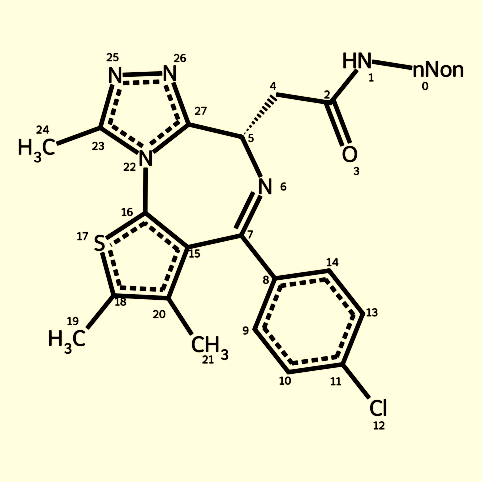 CCCCCCCCCNC(=O)C[C@@H]1N=C(c2ccc(Cl)cc2)c2c(sc(C)c2C)-n2c(C)nnc21